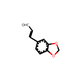 O=CC=Cc1ccc2c(c1)OCO2